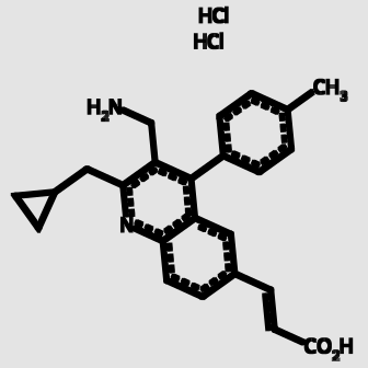 Cc1ccc(-c2c(CN)c(CC3CC3)nc3ccc(C=CC(=O)O)cc23)cc1.Cl.Cl